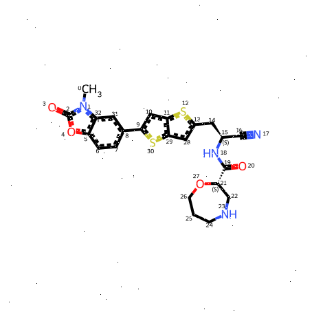 Cn1c(=O)oc2ccc(-c3cc4sc(C[C@@H](C#N)NC(=O)[C@@H]5CNCCCO5)cc4s3)cc21